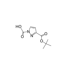 CC(C)(C)OC(=O)c1ccn(C(=O)O)n1